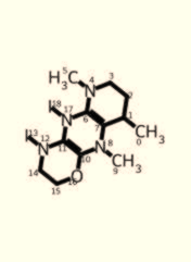 CC1CCN(C)C2=C1N(C)C1=C(N(I)CCO1)N2I